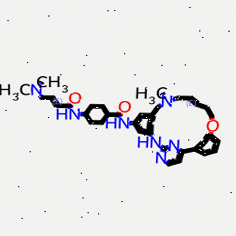 CN(C)C/C=C/C(=O)NC1CCC(C(=O)Nc2cc3cc(c2)Nc2nccc(n2)-c2cccc(c2)OCC/C=C/CN(C)C3)CC1